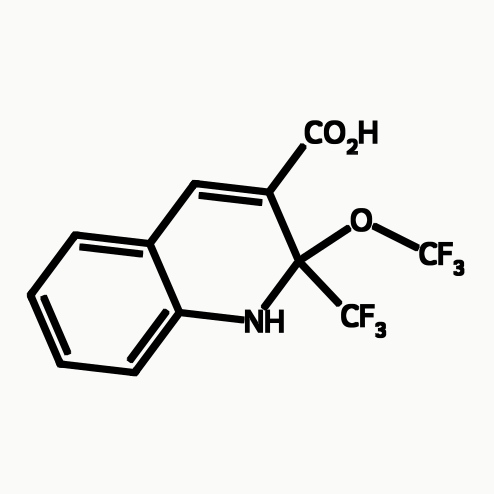 O=C(O)C1=Cc2ccccc2NC1(OC(F)(F)F)C(F)(F)F